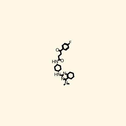 CN(C)c1nc(N[C@H]2CC[C@@H](NC(=O)CCC(=O)c3ccc(F)cc3)CC2)nc2c1CCCC2